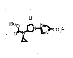 CC(C)(C)OC(=O)N(C1CC1)C1CCN(c2cnc(C(=O)O)cn2)C1.[Li]